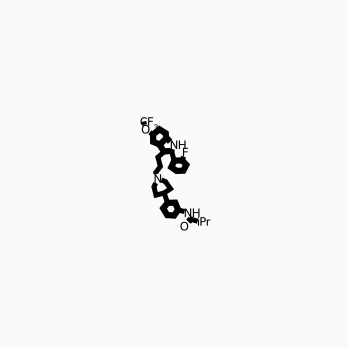 CC(C)C(=O)Nc1cccc(C2CCN(CCCc3c(-c4ccccc4F)[nH]c4ccc(OC(F)(F)F)cc34)CC2)c1